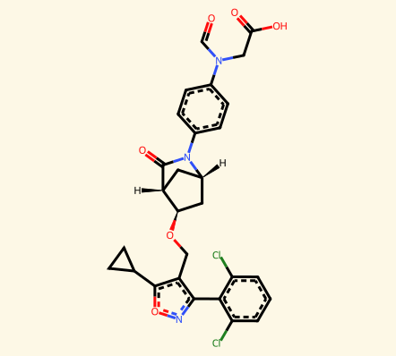 O=CN(CC(=O)O)c1ccc(N2C(=O)[C@@H]3C[C@H]2C[C@H]3OCc2c(-c3c(Cl)cccc3Cl)noc2C2CC2)cc1